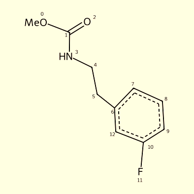 COC(=O)NCCc1cccc(F)c1